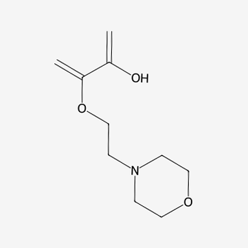 C=C(O)C(=C)OCCN1CCOCC1